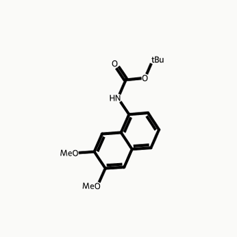 COc1cc2cccc(NC(=O)OC(C)(C)C)c2cc1OC